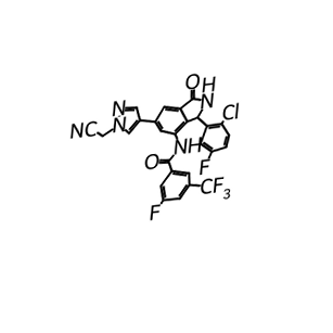 N#CCn1cc(-c2cc(NC(=O)c3cc(F)cc(C(F)(F)F)c3)c3c(c2)C(=O)NC3c2cc(F)ccc2Cl)cn1